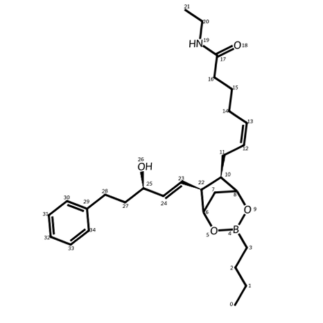 CCCCB1OC2CC(O1)[C@H](C/C=C\CCCC(=O)NCC)[C@@H]2/C=C/[C@H](O)CCc1ccccc1